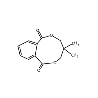 CC1(C)COC(=O)c2ccccc2C(=O)OC1